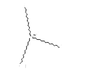 CCCCCCCCCCCCCC[Si](CCC)(CCCCCCCCCCCCCC)CCCCCCCCCCCCCC